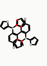 COc1c(Cl)ccc(P(c2ccco2)c2ccco2)c1-c1c(P(c2ccco2)c2ccco2)ccc(Cl)c1OC